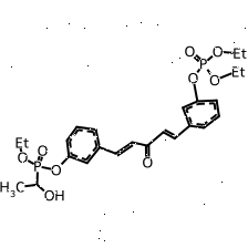 CCOP(=O)(OCC)Oc1cccc(/C=C/C(=O)/C=C/c2cccc(OP(=O)(OCC)C(C)O)c2)c1